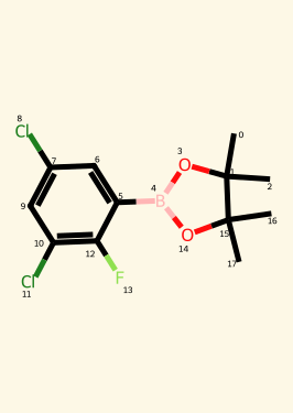 CC1(C)OB(c2cc(Cl)cc(Cl)c2F)OC1(C)C